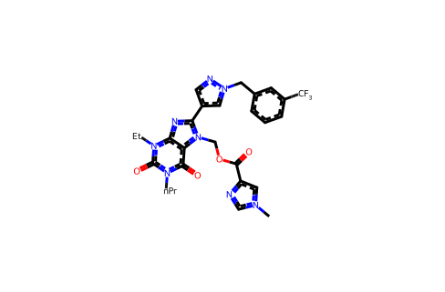 CCCn1c(=O)c2c(nc(-c3cnn(Cc4cccc(C(F)(F)F)c4)c3)n2COC(=O)c2cn(C)cn2)n(CC)c1=O